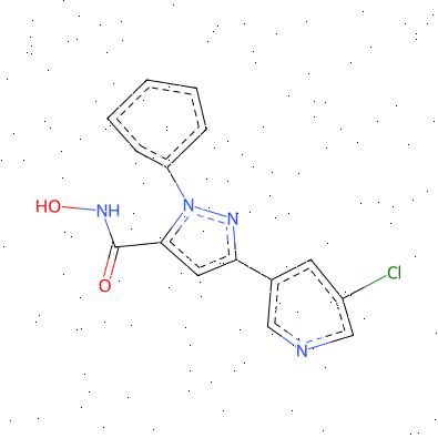 O=C(NO)c1cc(-c2cncc(Cl)c2)nn1-c1ccccc1